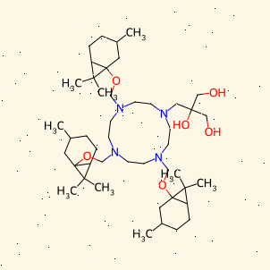 CC1CCC2C(C)(C)C2(OCN2CCN(COC34CC(C)CCC3C4(C)C)CCN(CC(O)(CO)CO)CCN(COC34CC(C)CCC3C4(C)C)CC2)C1